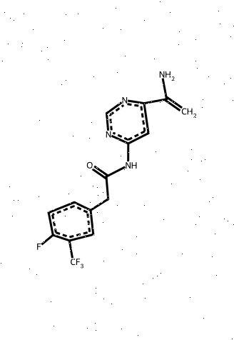 C=C(N)c1cc(NC(=O)Cc2ccc(F)c(C(F)(F)F)c2)ncn1